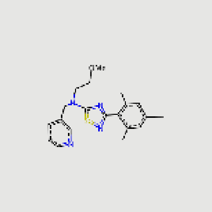 COCCN(Cc1cccnc1)c1nc(-c2c(C)cc(C)cc2C)ns1